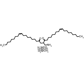 CCCCCCCC/C=C\CCCCCCCC(=O)CC(CN)C(=O)CCCCCCC/C=C\CCCCCCCC.CN.CN.CN